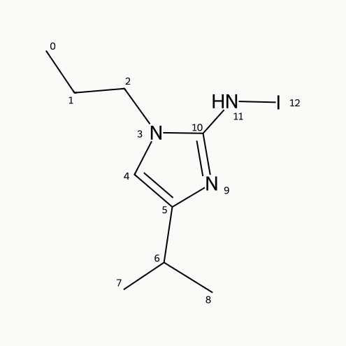 CCCn1cc(C(C)C)nc1NI